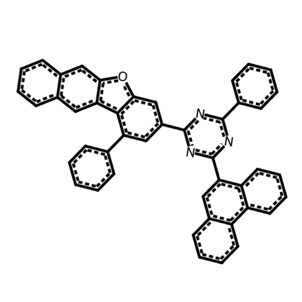 c1ccc(-c2nc(-c3cc(-c4ccccc4)c4c(c3)oc3cc5ccccc5cc34)nc(-c3cc4ccccc4c4ccccc34)n2)cc1